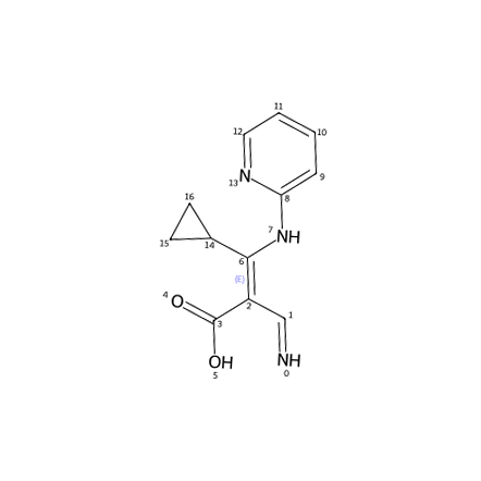 N=C/C(C(=O)O)=C(\Nc1ccccn1)C1CC1